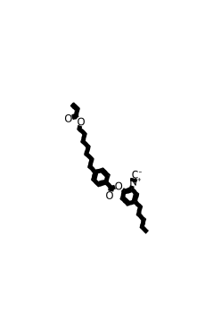 [C-]#[N+]c1cc(CCCCC)ccc1OC(=O)c1ccc(CCCCCCCOC(=O)C=C)cc1